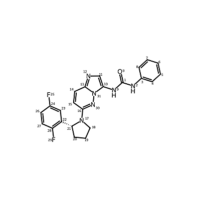 O=C(Nc1ccccc1)Nc1cnc2ccc(N3CCC[C@@H]3c3cc(F)ccc3F)nn12